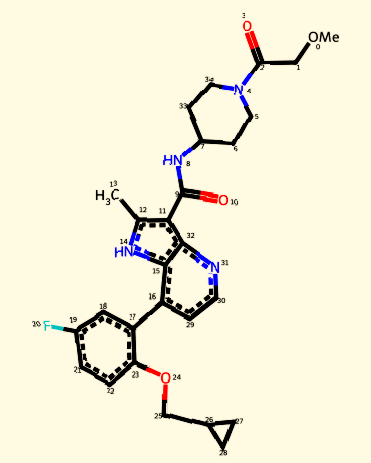 COCC(=O)N1CCC(NC(=O)c2c(C)[nH]c3c(-c4cc(F)ccc4OCC4CC4)ccnc23)CC1